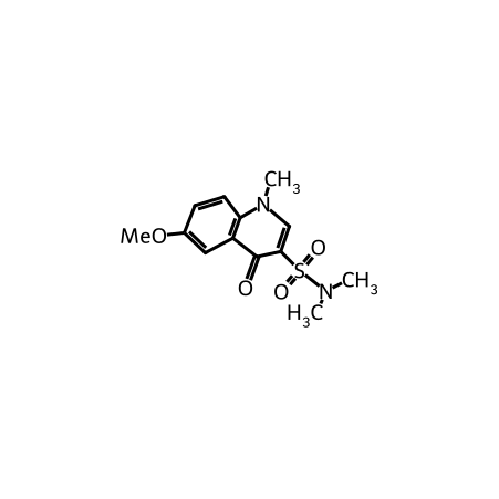 COc1ccc2c(c1)c(=O)c(S(=O)(=O)N(C)C)cn2C